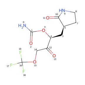 NC(=O)O[C@@H](C[C@@H]1CCNC1=O)C(=O)COC(F)(F)F